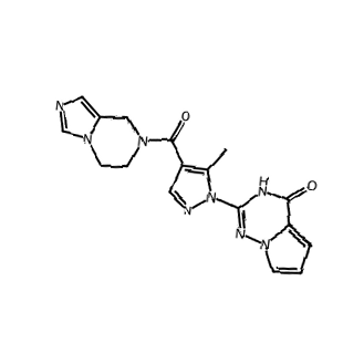 Cc1c(C(=O)N2CCn3cncc3C2)cnn1-c1nn2cccc2c(=O)[nH]1